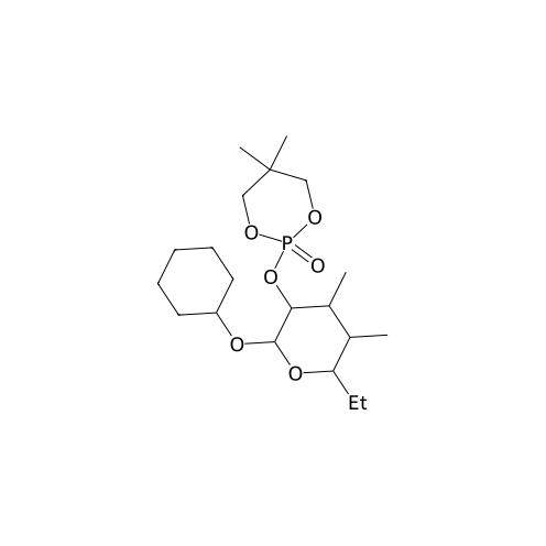 CCC1OC(OC2CCCCC2)C(OP2(=O)OCC(C)(C)CO2)C(C)C1C